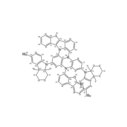 CC(C)(C)c1ccc2c(c1)C1(C)CCCCC1(C)N2c1ccc2c(c1)N(c1cccc3c1oc1ccccc13)c1cc(N3c4ccc(C(C)(C)C)cc4C4(C)CCCCC34C)cc3c1B2c1cccc2c4sc5ccccc5c4n-3c12